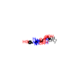 CC(C)[C@H](NC(=O)OC[C@H]1O[C@@H](n2cnc3c(NCc4ccc(O)cc4)ncnc32)C(O)C1O)C(=O)O